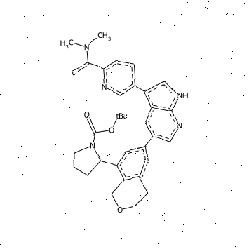 CN(C)C(=O)c1ccc(-c2c[nH]c3ncc(-c4cc5c(c(C6CCCN6C(=O)OC(C)(C)C)c4)COCC5)cc23)cn1